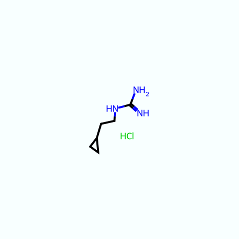 Cl.N=C(N)NCCC1CC1